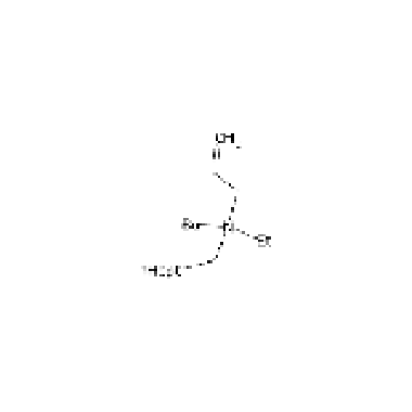 C=CC[N+](CC)(CCCC)CCCCCCCC